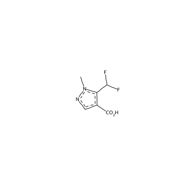 Cn1ncc(C(=O)O)c1C(F)F